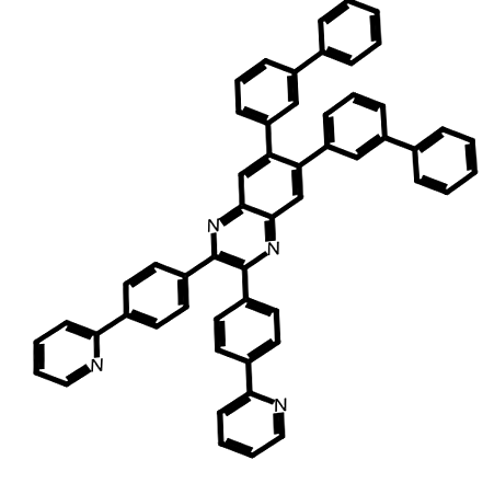 c1ccc(-c2cccc(-c3cc4nc(-c5ccc(-c6ccccn6)cc5)c(-c5ccc(-c6ccccn6)cc5)nc4cc3-c3cccc(-c4ccccc4)c3)c2)cc1